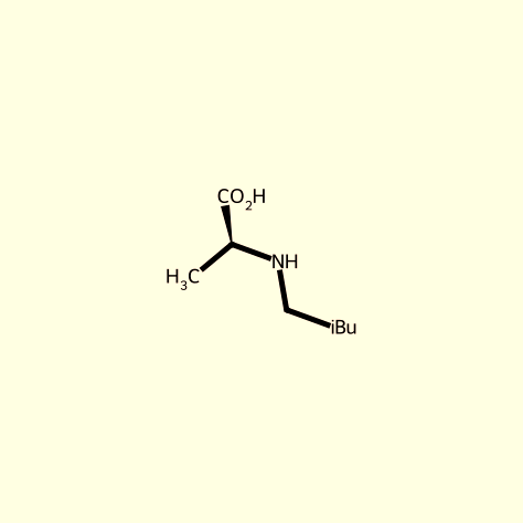 CCC(C)CN[C@@H](C)C(=O)O